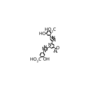 CN(C)C(=O)c1cc(-c2cn(-c3ccc(C(=O)O)c(O)c3)nn2)nc(-c2cn(-c3ccc(C(=O)O)c(O)c3)nn2)c1